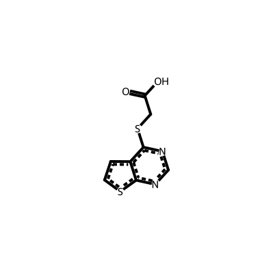 O=C(O)CSc1ncnc2sccc12